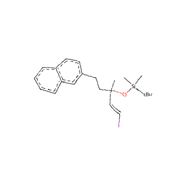 CC(/C=C/I)(CCc1ccc2ccccc2c1)O[Si](C)(C)C(C)(C)C